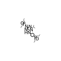 CCCP(=O)(CCC)Cn1cnc2c(Nc3ccc(P(=O)(CCC)CCC)cc3)nc(C(C)C)nc21